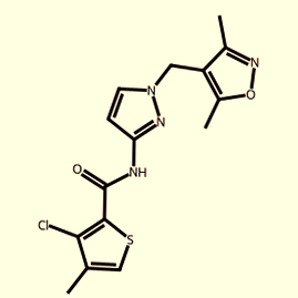 Cc1csc(C(=O)Nc2ccn(Cc3c(C)noc3C)n2)c1Cl